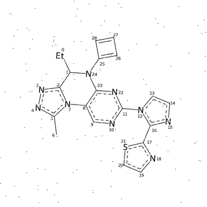 CCC1c2nnc(C)n2-c2cnc(-n3ccnc3-c3nccs3)nc2N1C1=CC=C1